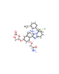 Cc1cccc(C)c1Nc1c(-c2c(C)cc(OC3COC(=O)O3)cc2OCC(N)=O)nc2ccc(F)cn12